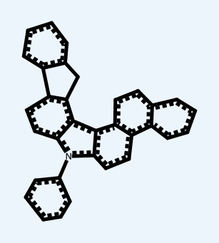 c1ccc(-n2c3ccc4c(c3c3c5ccc6ccccc6c5ccc32)Cc2ccccc2-4)cc1